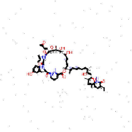 CC[C@H]1C[C@H](C)[C@@]2(NC1=O)O[C@@H](C[C@H](O)[C@@H](C)CC/C=C/C=C(\C)[C@@H]1C/C=C/C(O)C[C@H](O)[C@H](C)[C@@H](O)[C@@H](CCC(C)=O)C(=O)N[C@@H](C(C)C)C(=O)N[C@@H](Cc3cccc(O)c3)C(=O)N3CCCC(N3)C(=O)O1)[C@H](C)C=C2C